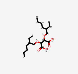 CCCCC(CC)COC(C(=O)O)C(OCC(CC)CCCC)C(=O)O